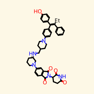 CCC(=C(c1ccc(O)cc1)c1ccc(N2CCC(CN[C@H]3CCCN(c4ccc5c(c4)C(=O)N(C4CCC(=O)NC4=O)C5=O)C3)CC2)cc1)c1ccccc1